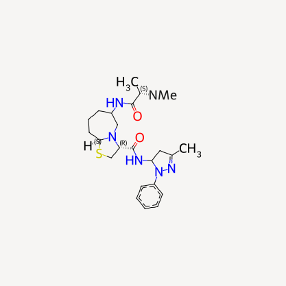 CN[C@@H](C)C(=O)NC1CCC[C@@H]2SC[C@@H](C(=O)NC3CC(C)=NN3c3ccccc3)N2C1